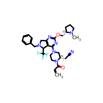 C=CC(=O)N1CCN(c2nc(OC[C@@H]3CCCN3C)nc3c2C(C(F)(F)F)N(Cc2ccccc2)C3)C[C@@H]1CC#N